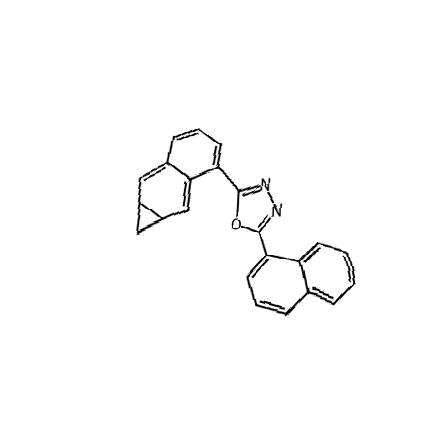 C1=c2cccc(-c3nnc(-c4cccc5ccccc45)o3)c2=CC2CC12